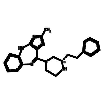 Cc1nc2c(s1)Nc1ccccc1N=C2N1CCN[C@@H](CCc2ccccc2)C1